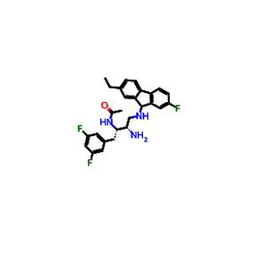 CCc1ccc2c(c1)C(NC[C@H](N)[C@H](Cc1cc(F)cc(F)c1)NC(C)=O)c1cc(F)ccc1-2